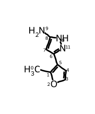 Cc1occc1-c1cc(N)[nH]n1